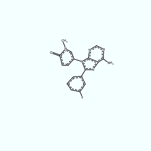 Cn1cc(-n2c(-c3cccc(F)c3)nc3c(N)ncnc32)ccc1=O